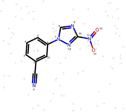 N#Cc1cccc(-n2cnc([N+](=O)[O-])n2)c1